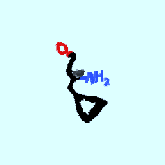 N[C@H](CC=O)Cc1ccccc1